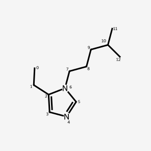 CCc1cncn1CCCC(C)C